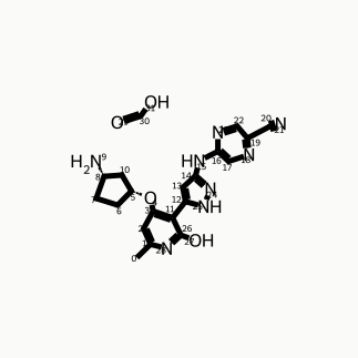 Cc1cc(O[C@@H]2CC[C@H](N)C2)c(-c2cc(Nc3cnc(C#N)cn3)n[nH]2)c(O)n1.O=CO